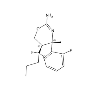 CCCC(F)(F)[C@H]1COC(N)=N[C@]1(C)c1ccccc1F